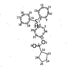 O=C(Oc1ccc([SH](c2ccccc2)c2ccccc2)cc1)C1CCCC1